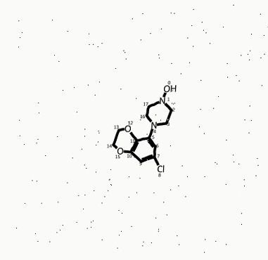 ON1CCN(c2cc(Cl)cc3c2OCCO3)CC1